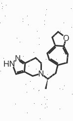 C[C@H](CC1=CC=C2CCOC2=CC1)N1CCc2n[nH]cc2C1